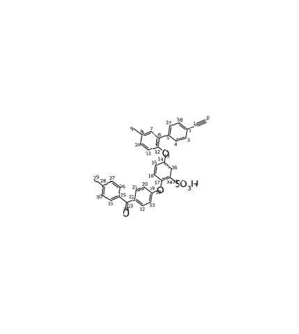 C#Cc1ccc(-c2cc(C)ccc2Oc2ccc(Oc3ccc(C(=O)c4ccc(C)cc4)cc3)c(S(=O)(=O)O)c2)cc1